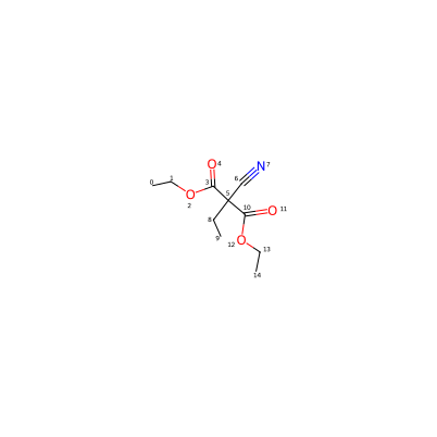 CCOC(=O)C(C#N)(CC)C(=O)OCC